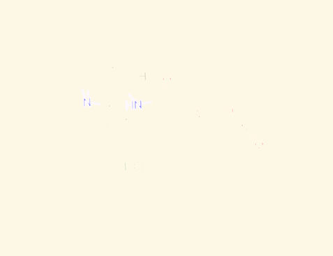 CS(=O)(=O)c1cccc2cc(C(=O)N[C@@H]3C4CCN(CC4)C34CC4)sc12.Cl